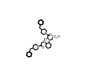 CCN(CC(=O)N1CCC(Cc2ccccc2)CC1)C1CCCCC1N(CC(=O)O)CC(=O)N1CCC(Cc2ccccc2)CC1